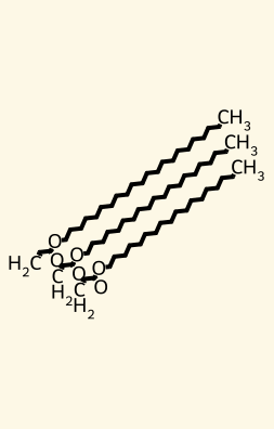 C=CC(=O)OCCCCCCCCCCCCCCCCCC.C=CC(=O)OCCCCCCCCCCCCCCCCCCCC.C=CC(=O)OCCCCCCCCCCCCCCCCCCCCCC